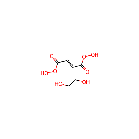 O=C(/C=C/C(=O)OO)OO.OCCO